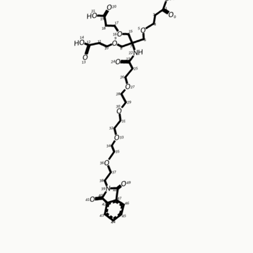 O=C(O)CCOCC(COCCC(=O)O)(COCCC(=O)O)NC(=O)CCOCCOCCOCCOCCN1C(=O)c2ccccc2C1=O